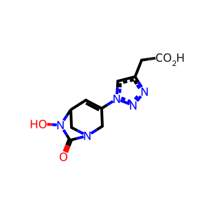 O=C(O)Cc1cn(C2=CC3CN(C2)C(=O)N3O)nn1